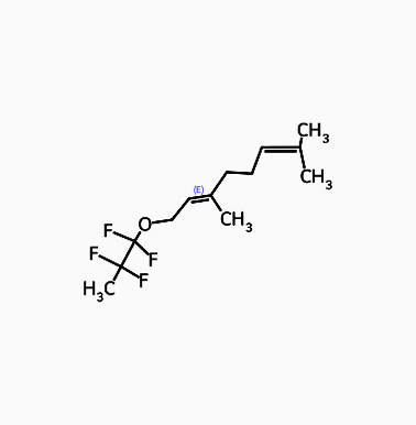 CC(C)=CCC/C(C)=C/COC(F)(F)C(C)(F)F